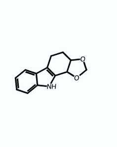 c1ccc2c3c([nH]c2c1)C1OCOC1CC3